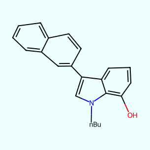 CCCCn1cc(-c2ccc3ccccc3c2)c2cccc(O)c21